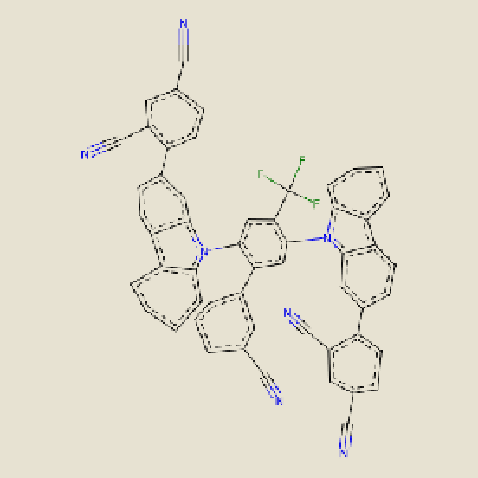 N#Cc1cccc(-c2cc(-n3c4ccccc4c4ccc(-c5ccc(C#N)cc5C#N)cc43)c(C(F)(F)F)cc2-n2c3ccccc3c3ccc(-c4ccc(C#N)cc4C#N)cc32)c1